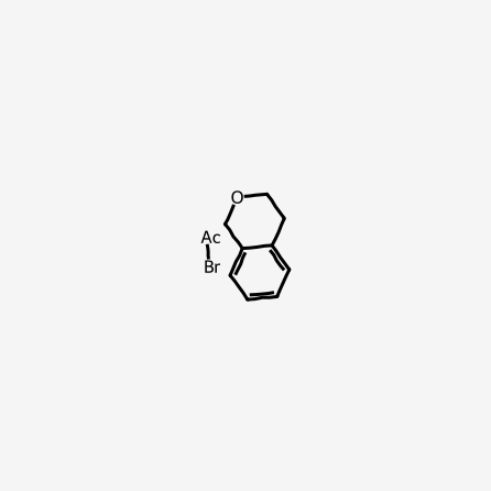 CC(=O)Br.c1ccc2c(c1)CCOC2